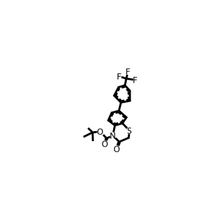 CC(C)(C)OC(=O)N1C(=O)CSc2cc(-c3ccc(C(F)(F)F)cc3)ccc21